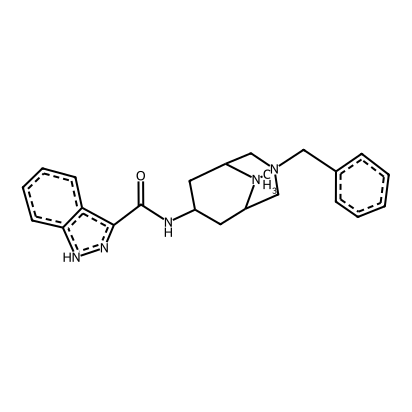 CN1C2CC(NC(=O)c3n[nH]c4ccccc34)CC1CN(Cc1ccccc1)C2